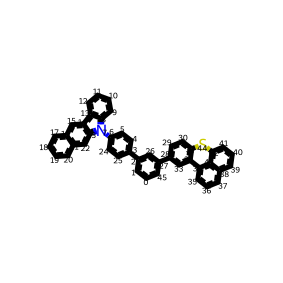 c1cc(-c2ccc(-n3c4ccccc4c4cc5ccccc5cc43)cc2)cc(-c2ccc3c(c2)-c2cccc4cccc(c24)S3)c1